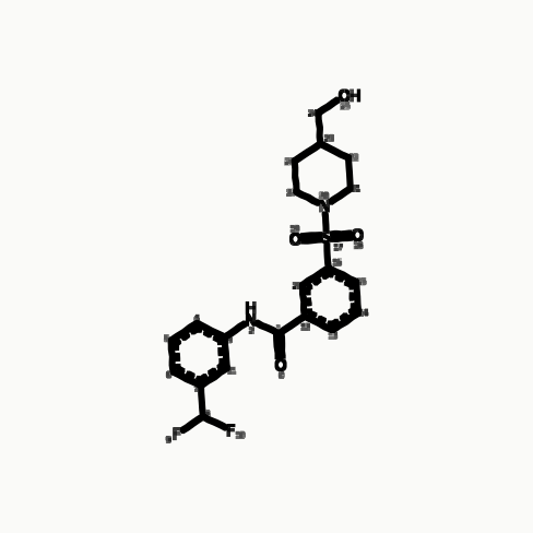 O=C(Nc1cccc(C(F)F)c1)c1cccc(S(=O)(=O)N2CCC(CO)CC2)c1